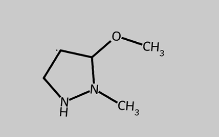 COC1[CH]CNN1C